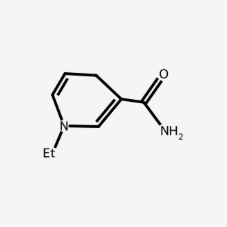 CCN1C=CCC(C(N)=O)=C1